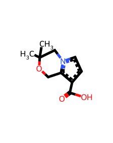 CC1(C)Cn2ccc(C(=O)O)c2CO1